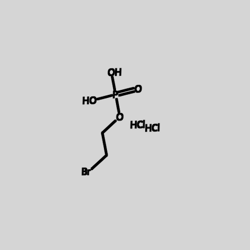 Cl.Cl.O=P(O)(O)OCCBr